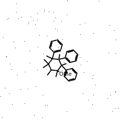 COC1(C)C(C)C(C)(C)C(C)(c2ccccc2)C(C)(c2ccccc2)C1(C)c1ccccc1